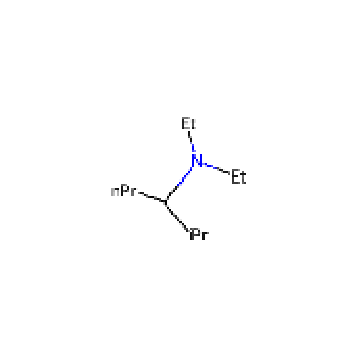 CCCC(C(C)C)N(CC)CC